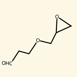 O=CCCOCC1CO1